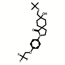 CC(C)(C)SCC1(O)CCC2(CCN(c3ccc(OCC(F)(F)F)cc3)C2=O)CC1